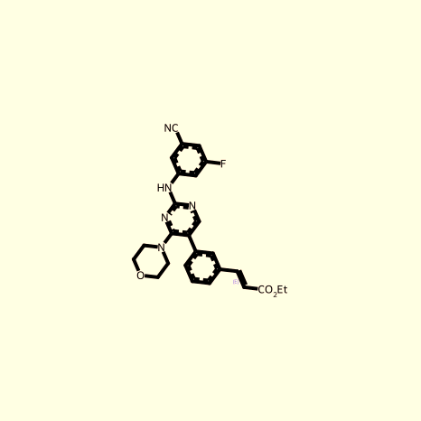 CCOC(=O)/C=C/c1cccc(-c2cnc(Nc3cc(F)cc(C#N)c3)nc2N2CCOCC2)c1